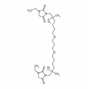 CCN1CC(=O)N(CC(C)(C)CCCCOCCCOCCCCC(C)(C)CN2C(=O)CN(CC)C2=O)C1=O